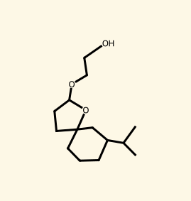 CC(C)C1CCCC2(CCC(OCCO)O2)C1